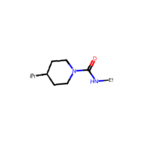 CCNC(=O)N1CCC(C(C)C)CC1